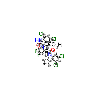 O=C(O)[C@H]1[C@@H](C(=O)N(CC2CCCC2)c2cc(Cl)cc(Cl)c2)[C@H]2CC(F)(F)CN2[C@]12C(=O)Nc1c(Cl)cc(Cl)cc12